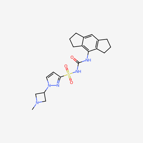 CN1CC(n2ccc(S(=O)(=O)NC(=O)Nc3c4c(cc5c3CCC5)CCC4)n2)C1